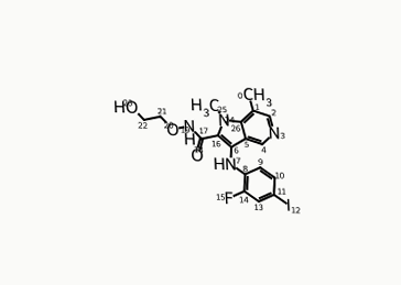 Cc1cncc2c(Nc3ccc(I)cc3F)c(C(=O)NOCCO)n(C)c12